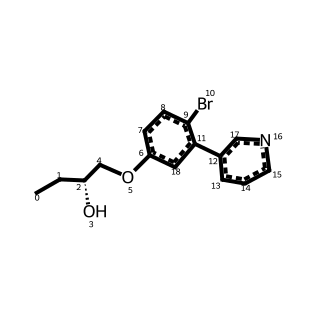 CC[C@@H](O)COc1ccc(Br)c(-c2cccnc2)c1